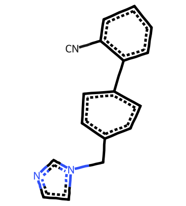 [C-]#[N+]c1ccccc1-c1ccc(Cn2ccnc2)cc1